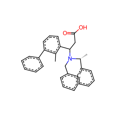 Cc1c(-c2ccccc2)cccc1C(CC(=O)O)N(Cc1ccccc1)[C@H](C)c1ccccc1